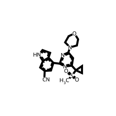 CS(=O)(=O)C1(c2cc(N3CCOCC3)nc(-c3cc(C#N)cc4[nH]ccc34)n2)CC1